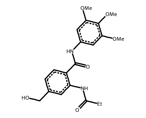 CCC(=O)Nc1cc(CO)ccc1C(=O)Nc1cc(OC)c(OC)c(OC)c1